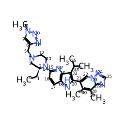 CC[C@H]1CN(Cc2cn(C)nn2)CCN1c1ccc2[nH]c(-c3cn4ncnc4c(C)c3C)c(C(C)C)c2n1